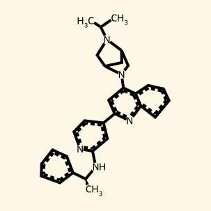 CC(C)N1CC2CC1CN2c1cc(-c2ccnc(N[C@@H](C)c3ccccc3)c2)nc2ccccc12